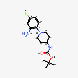 CC(C)(C)OC(=O)NC1CCN(c2ccc(F)cc2N)CC1